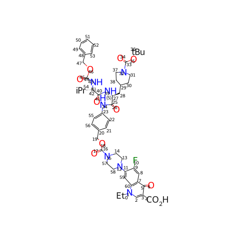 CCn1cc(C(=O)O)c(=O)c2cc(F)c(N3CCN(C(=O)OCc4ccc(NC(=O)[C@H](CC5CCN(C(=O)OC(C)(C)C)CC5)NC(=O)[C@@H](NC(=O)OCc5ccccc5)C(C)C)cc4)CC3)cc21